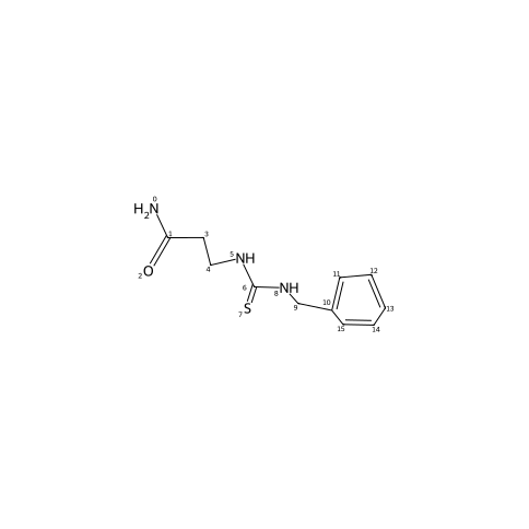 NC(=O)CCNC(=S)NCc1ccccc1